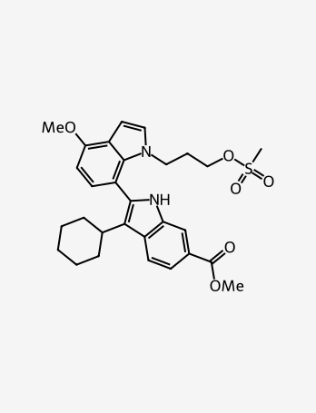 COC(=O)c1ccc2c(C3CCCCC3)c(-c3ccc(OC)c4ccn(CCCOS(C)(=O)=O)c34)[nH]c2c1